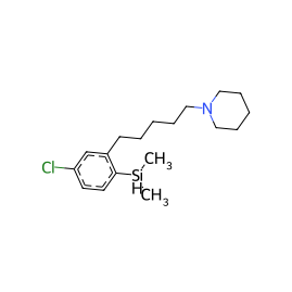 C[SiH](C)c1ccc(Cl)cc1CCCCCN1CCCCC1